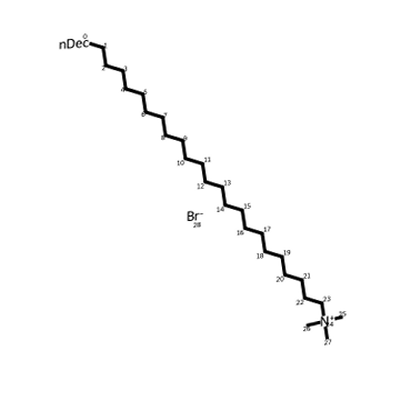 CCCCCCCCCCCCCCCCCCCCCCCCCCCCCCCCC[N+](C)(C)C.[Br-]